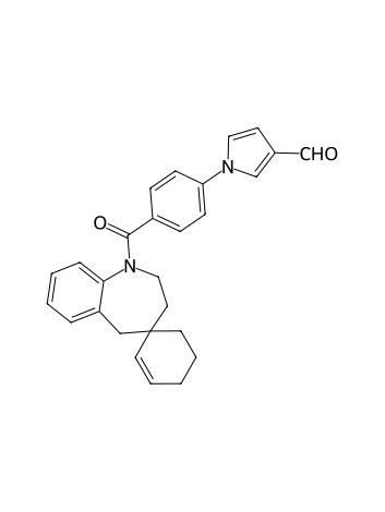 O=Cc1ccn(-c2ccc(C(=O)N3CCC4(C=CCCC4)Cc4ccccc43)cc2)c1